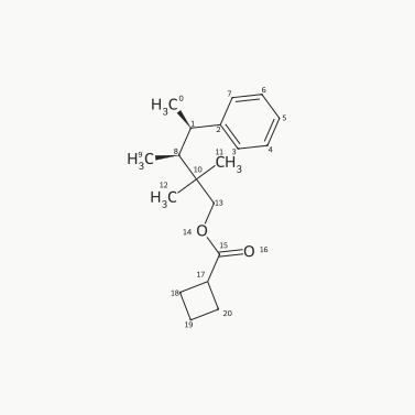 C[C@@H](c1ccccc1)[C@H](C)C(C)(C)COC(=O)C1CCC1